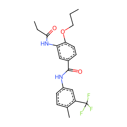 CCCOc1ccc(C(=O)Nc2ccc(C)c(C(F)(F)F)c2)cc1NC(=O)CC